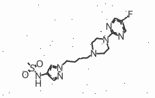 CS(=O)(=O)Nc1cnn(CCCCN2CCN(c3ncc(F)cn3)CC2)c1